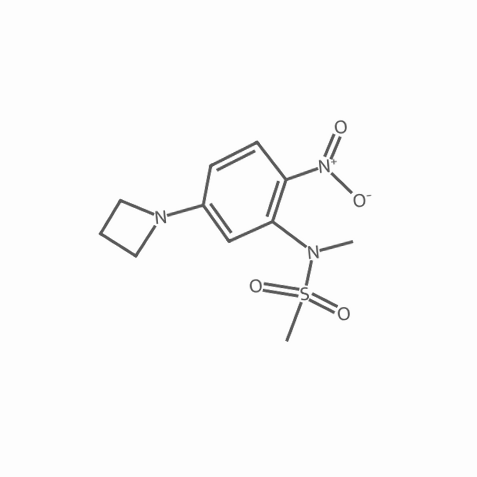 CN(c1cc(N2CCC2)ccc1[N+](=O)[O-])S(C)(=O)=O